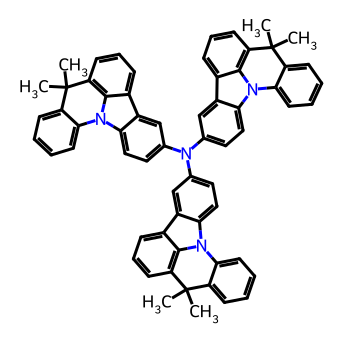 CC1(C)c2ccccc2-n2c3ccc(N(c4ccc5c(c4)c4cccc6c4n5-c4ccccc4C6(C)C)c4ccc5c(c4)c4cccc6c4n5-c4ccccc4C6(C)C)cc3c3cccc1c32